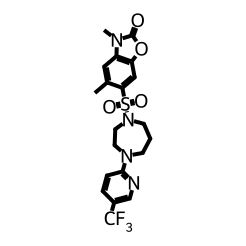 Cc1cc2c(cc1S(=O)(=O)N1CCCN(c3ccc(C(F)(F)F)cn3)CC1)oc(=O)n2C